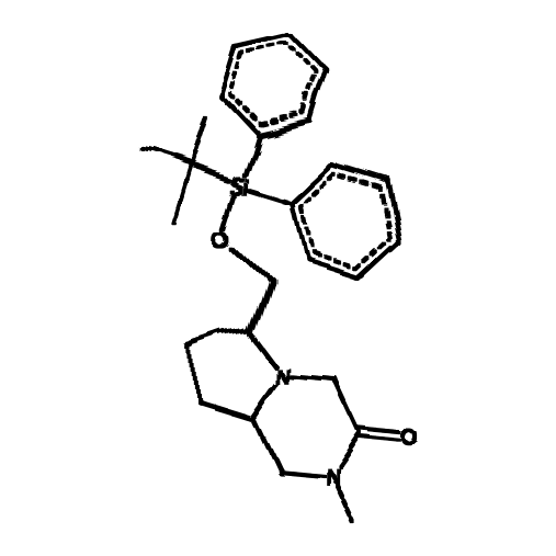 CN1CC2CCC(CO[Si](c3ccccc3)(c3ccccc3)C(C)(C)C)N2CC1=O